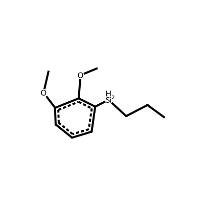 CCC[SiH2]c1cccc(OC)c1OC